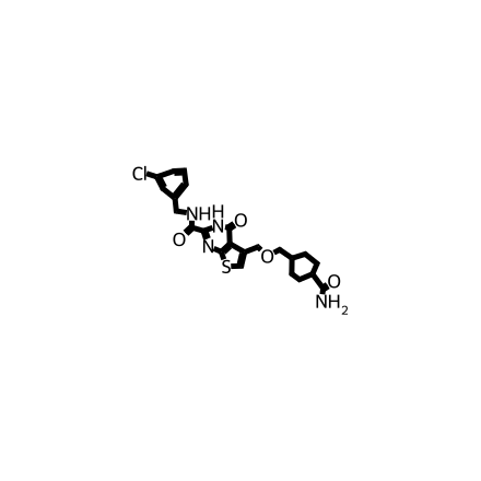 NC(=O)C1CCC(COCc2csc3nc(C(=O)NCc4cccc(Cl)c4)[nH]c(=O)c23)CC1